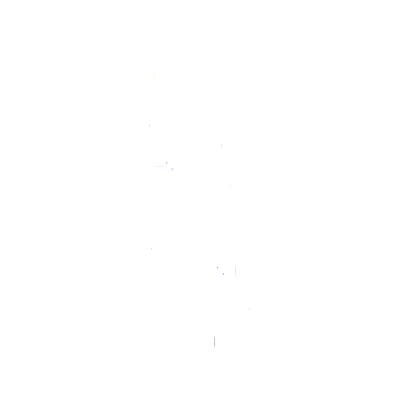 CS(=O)(=O)NC(=O)C(=O)NS(=O)(=O)C(F)(F)F